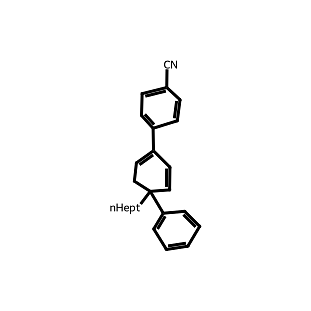 CCCCCCCC1(c2ccccc2)C=CC(c2ccc(C#N)cc2)=CC1